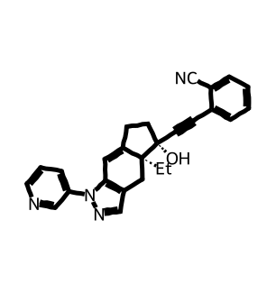 CC[C@]12Cc3cnn(-c4cccnc4)c3C=C1CC[C@@]2(O)C#Cc1ccccc1C#N